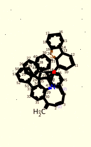 C=C1/C=C\C=C/N([C@H]2C(C3=CC=CC4c5ccccc5SC34)[C@@H]2c2ccccc2)c2c1ccc1c2C(c2ccccc2)(c2ccccc2)c2ccccc2-1